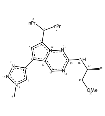 CCCC(CCC)c1cc(-c2cn(C)nn2)c2cnc(N[C@@H](C)COC)nn12